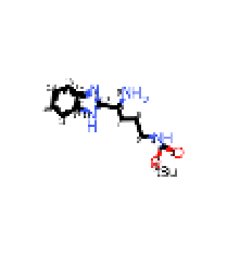 CC(C)(C)OC(=O)NCCCC(N)c1nc2ccccc2[nH]1